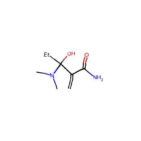 C=C(C(N)=O)C(O)(CC)N(C)C